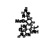 C=C1Cc2c(nc3c(c2Nc2cccc(-c4ncn(C)n4)c2OC)C(=O)N(C)C3)N1